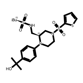 CC[C@H](C)S(=O)(=O)NC[C@H]1CN(S(=O)(=O)c2cccs2)CCN1c1ccc(C(C)(C)O)cc1